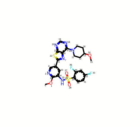 COc1ncc(-c2nc3c(N4CCC(OC)CC4)ncnc3s2)cc1NS(=O)(=O)c1ccc(F)cc1F